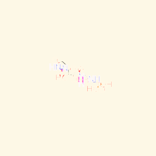 O=C(CNC(=O)[C@H]1O[C@@H](n2ccc(=O)[nH]c2=O)[C@@H](O)[C@@H]1O)NCCP(=O)(O)O